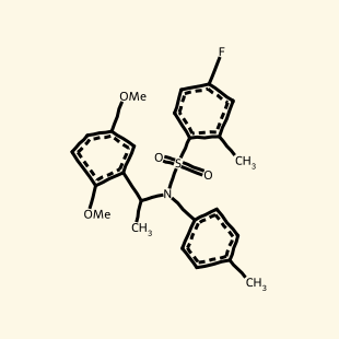 COc1ccc(OC)c(C(C)N(c2ccc(C)cc2)S(=O)(=O)c2ccc(F)cc2C)c1